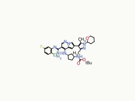 Cc1nn(C2CCCCO2)c(C)c1-c1cc2c(N[C@@H]3CC[C@H](NC(=O)OC(C)(C)C)C3)c(/C(N)=N/c3cc(F)ccc3Cl)cnn2c1